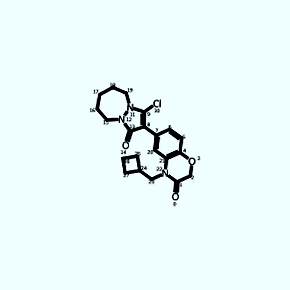 O=C1COc2ccc(-c3c(Cl)n4n(c3=O)CCCCC4)cc2N1CC1CCC1